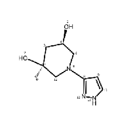 C[C@]1(O)C[C@@H](O)CN(c2cc[nH]n2)C1